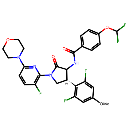 COc1cc(F)c([C@@H]2CN(c3nc(N4CCOCC4)ccc3F)C(=O)C2NC(=O)c2ccc(OC(F)F)cc2)c(F)c1